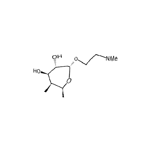 CNCCO[C@@H]1O[C@@H](C)[C@@H](C)[C@@H](O)[C@@H]1O